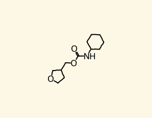 O=C(NC1CCCCC1)OCC1CCOC1